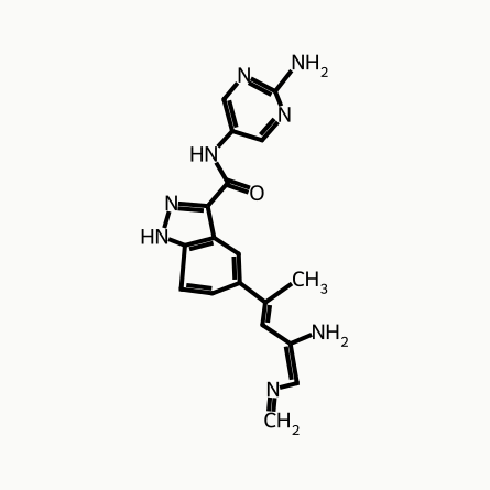 C=N/C=C(N)\C=C(/C)c1ccc2[nH]nc(C(=O)Nc3cnc(N)nc3)c2c1